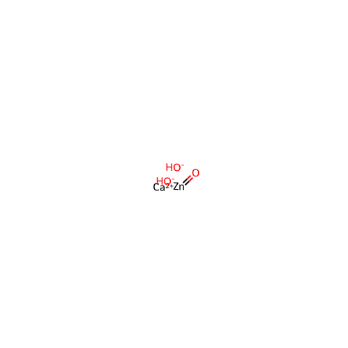 [Ca+2].[OH-].[OH-].[O]=[Zn]